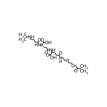 CC(C)NCCCC(=O)N[C@@H](CCC(=O)N[C@@H](CCC(=O)NCCOCCOCC(=O)C(C)C)C(=O)O)C(=O)O